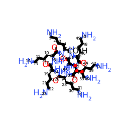 NCCCC[C@H](NC(=O)[C@H](CCCCN)NC(=O)[C@H](CCCCN)NC(=O)[C@H](CCCCN)NC(=O)[C@H](CCCCN)NC(=O)[C@H](CCCCN)NC(=O)[C@@H](N)CCCCN)C(=O)O